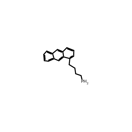 PCCCCc1cccc2cc3ccccc3cc12